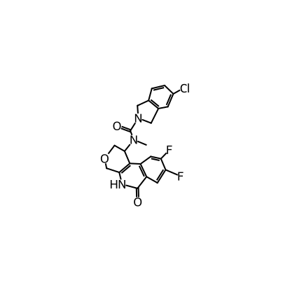 CN(C(=O)N1Cc2ccc(Cl)cc2C1)C1COCc2[nH]c(=O)c3cc(F)c(F)cc3c21